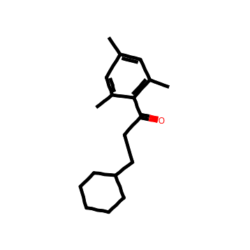 Cc1cc(C)c(C(=O)CCC2CCCCC2)c(C)c1